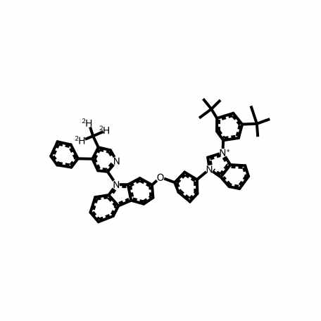 [2H]C([2H])([2H])c1cnc(-n2c3ccccc3c3ccc(Oc4cccc(-n5c[n+](-c6cc(C(C)(C)C)cc(C(C)(C)C)c6)c6ccccc65)c4)cc32)cc1-c1ccccc1